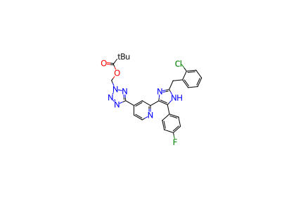 CC(C)(C)C(=O)OCn1nnc(-c2ccnc(-c3nc(Cc4ccccc4Cl)[nH]c3-c3ccc(F)cc3)c2)n1